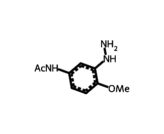 COc1ccc(NC(C)=O)cc1NN